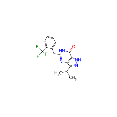 CC(C)c1n[nH]c2c(=O)[nH]c(Cc3ccccc3C(F)(F)F)nc12